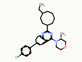 CCC1CCCCC(c2nc(N3CCOC[C@@H]3C)c3/c(n2)=C/CC/C(c2ccc(Cl)cc2)=C\C=3)CC1